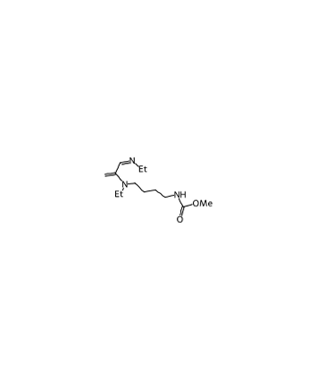 C=C(/C=N\CC)N(CC)CCCCNC(=O)OC